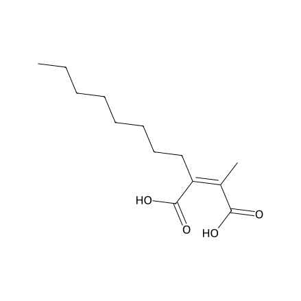 CCCCCCCC/C(C(=O)O)=C(\C)C(=O)O